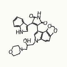 O=C1NC(=O)C(c2cn(CC(O)CN3CCOCC3)c3ccc4c(c23)OCO4)=C1c1c[nH]c2ccccc12